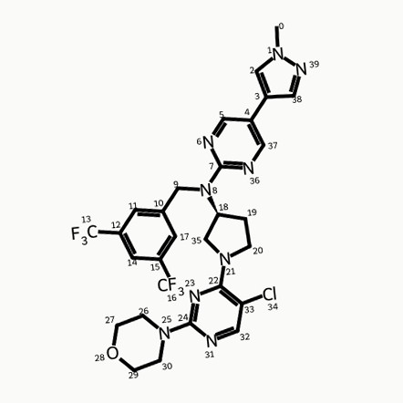 Cn1cc(-c2cnc(N(Cc3cc(C(F)(F)F)cc(C(F)(F)F)c3)[C@H]3CCN(c4nc(N5CCOCC5)ncc4Cl)C3)nc2)cn1